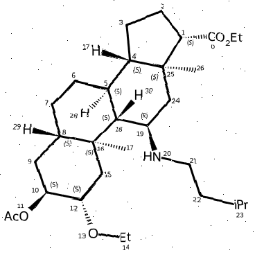 CCOC(=O)[C@H]1CC[C@H]2[C@@H]3CC[C@H]4C[C@H](OC(C)=O)[C@@H](OCC)C[C@]4(C)[C@H]3[C@H](NCCC(C)C)C[C@]12C